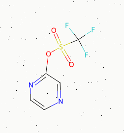 O=S(=O)(Oc1cnccn1)C(F)(F)F